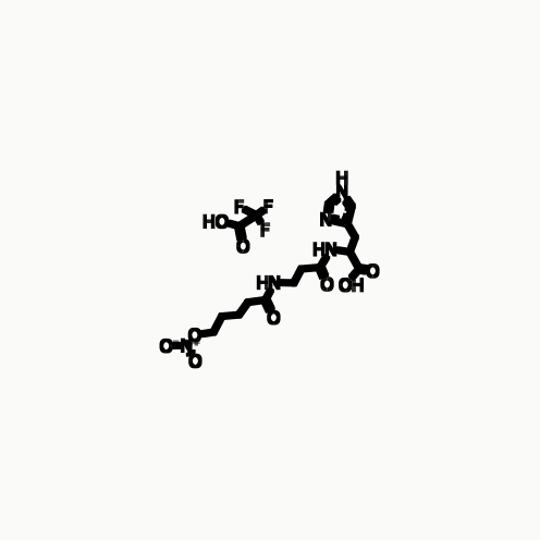 O=C(CCCCO[N+](=O)[O-])NCCC(=O)NC(Cc1c[nH]cn1)C(=O)O.O=C(O)C(F)(F)F